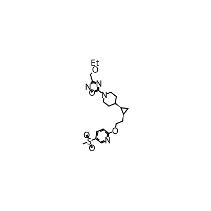 CCOCc1noc(N2CCC([C@H]3C[C@H]3CCOc3ccc(S(C)(=O)=O)cn3)CC2)n1